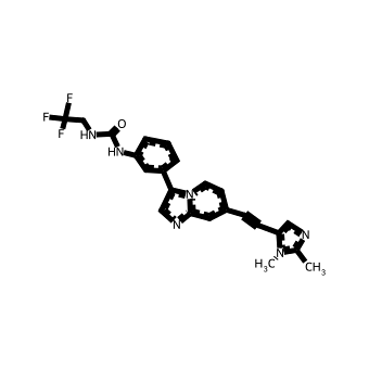 Cc1ncc(C#Cc2ccn3c(-c4cccc(NC(=O)NCC(F)(F)F)c4)cnc3c2)n1C